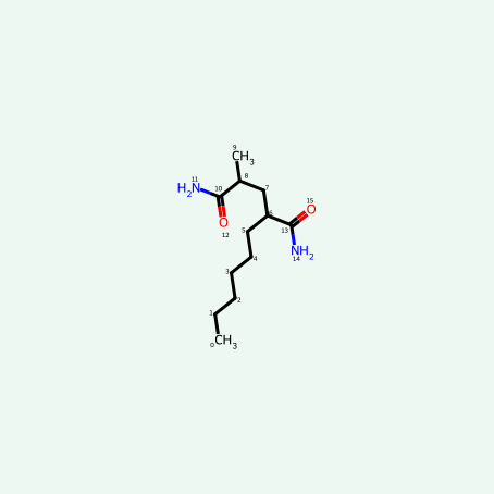 CCCCCCC(CC(C)C(N)=O)C(N)=O